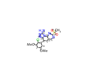 COc1cc(OC)c(Cl)c(-c2cc3cnc(S(C)(=O)=O)nc3n3c(N)nnc23)c1